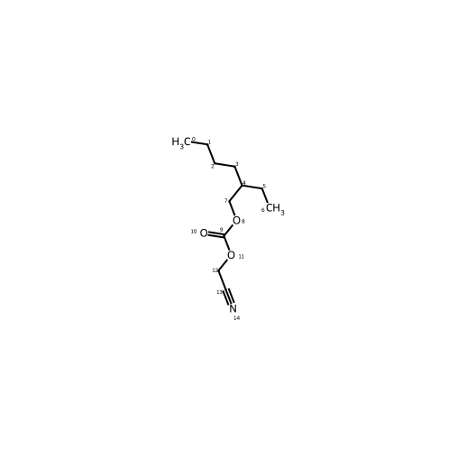 CCCCC(CC)COC(=O)OCC#N